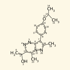 C=C(O)c1nnc2c(-c3ccc(OC(C)C)cc3)c(C)nn2c1C